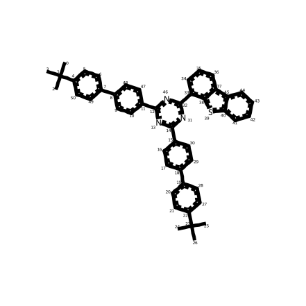 CC(C)(C)c1ccc(-c2ccc(-c3nc(-c4ccc(-c5ccc(C(C)(C)C)cc5)cc4)nc(-c4cccc5c4sc4ccccc45)n3)cc2)cc1